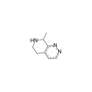 CC1NCCc2ccnnc21